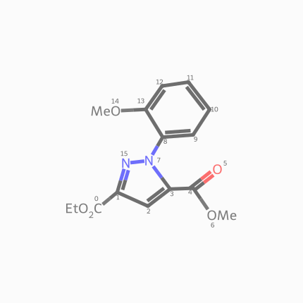 CCOC(=O)c1cc(C(=O)OC)n(-c2ccccc2OC)n1